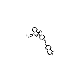 Cc1nccc2nc([CH]CN3CCN(S(=O)(=O)c4ccccc4OC(F)(F)F)CC3)ccc12